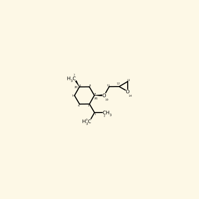 CC(C)C1CC[C@@H](C)C[C@H]1OCC1CO1